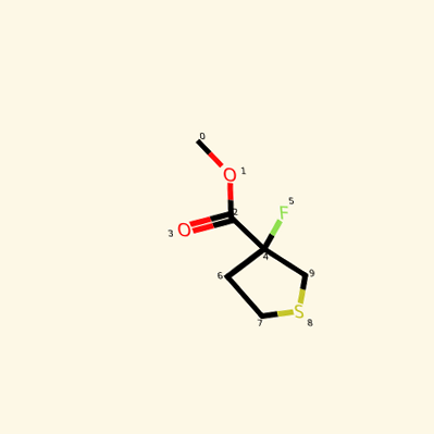 COC(=O)C1(F)CCSC1